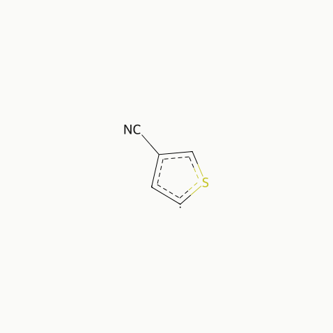 N#Cc1c[c]sc1